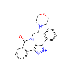 O=C(NCCN1CCOCC1)c1ccccc1-c1cc(-c2ccccc2)[nH]n1